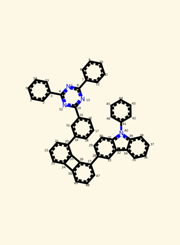 c1ccc(-c2nc(-c3ccccc3)nc(-c3cccc(-c4cccc5c4-c4c(-c6ccc7c(c6)c6ccccc6n7-c6ccccc6)cccc4-5)c3)n2)cc1